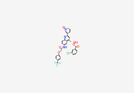 Cc1cc(-c2ccc[n+]([O-])c2)nc2ccc(NC(=O)COc3ccc(C(F)(F)F)cc3)cc12.O=C(OO)c1cccc(Cl)c1